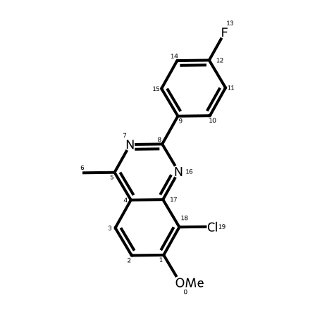 COc1ccc2c(C)nc(-c3ccc(F)cc3)nc2c1Cl